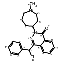 CN1CCCC(n2nc(C(Cl)c3ccccc3)c3ccccc3c2=O)CC1